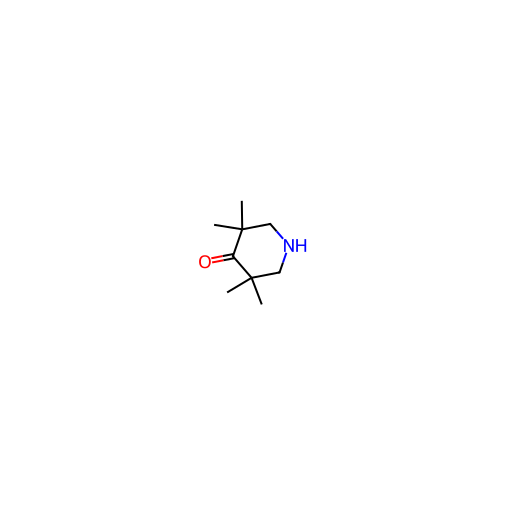 CC1(C)CNCC(C)(C)C1=O